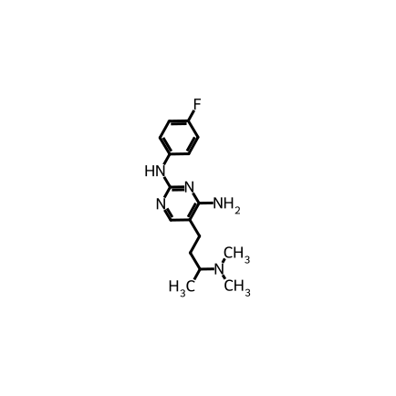 CC(CCc1cnc(Nc2ccc(F)cc2)nc1N)N(C)C